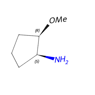 CO[C@@H]1CCC[C@@H]1N